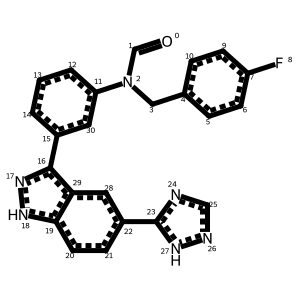 O=CN(Cc1ccc(F)cc1)c1cccc(-c2n[nH]c3ccc(-c4ncn[nH]4)cc23)c1